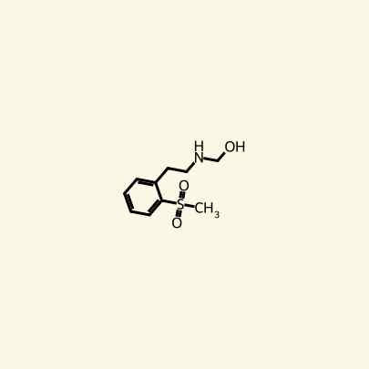 CS(=O)(=O)c1ccccc1CCNCO